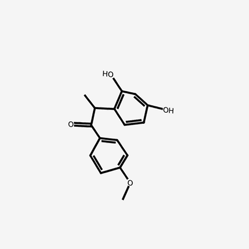 COc1ccc(C(=O)C(C)c2ccc(O)cc2O)cc1